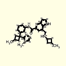 CC1CC(NCc2cc(C(=O)Nc3cccc(C4(c5nncn5C)CC(C)C4)c3)nc3cc[nH]c23)C1